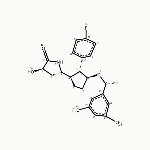 C[C@@H](O[C@H]1CC[C@@H]([C@@H]2C[C@@H](O)C(=O)N2)[C@@H]1c1ccc(F)cc1)c1cc(C(F)(F)F)cc(C(F)(F)F)c1